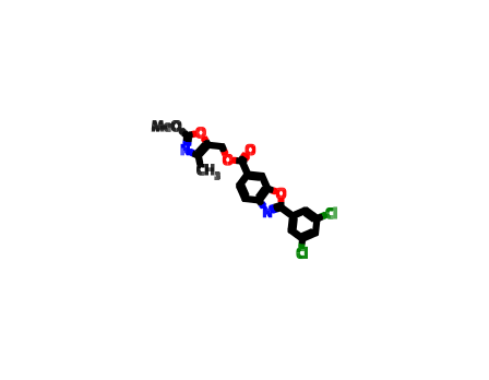 COc1nc(C)c(COC(=O)c2ccc3nc(-c4cc(Cl)cc(Cl)c4)oc3c2)o1